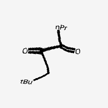 CCCC(=O)C(=O)CC(C)(C)C